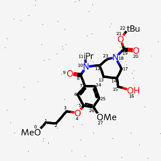 COCCCOc1cc(C(=O)N(C(C)C)C2CC(CO)CN(C(=O)OC(C)(C)C)C2)ccc1OC